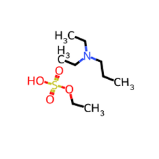 CCCN(CC)CC.CCOS(=O)(=O)O